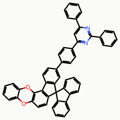 c1ccc(-c2cc(-c3ccc(-c4ccc5c(c4)C4(c6ccccc6-c6ccccc64)c4ccc6c(c4-5)Oc4ccccc4O6)cc3)nc(-c3ccccc3)n2)cc1